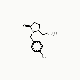 CCc1ccc(CN2C(=O)CCC2CC(=O)O)cc1